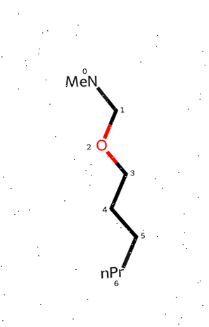 [CH2]NCOCCCCCC